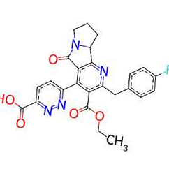 CCOC(=O)c1c(Cc2ccc(F)cc2)nc2c(c1-c1ccc(C(=O)O)nn1)C(=O)N1CCCC21